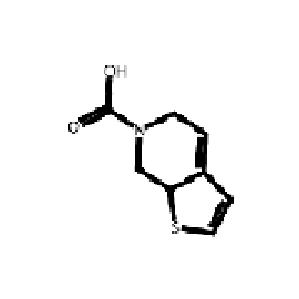 O=C(O)N1CC=C2C=CSC2C1